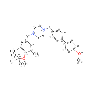 Cc1cc(CN2CCN(Cc3ccc(-c4ccc(OC(F)(F)F)cc4)cc3)CC2)cc(C)c1OC(C)(C)C(=O)O